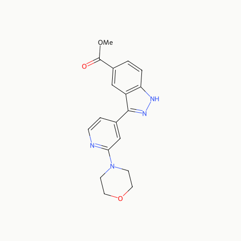 COC(=O)c1ccc2[nH]nc(-c3ccnc(N4CCOCC4)c3)c2c1